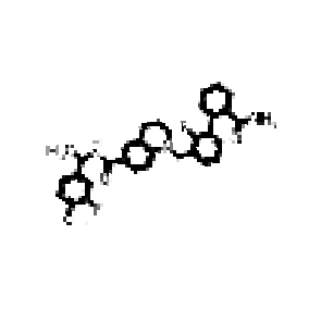 Cc1ccc(C(C)NC(=O)c2ccc3c(c2)CCCN3Cc2cccc(-c3ccccc3C(N)=O)c2F)cc1F